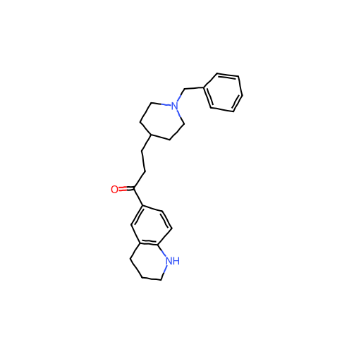 O=C(CCC1CCN(Cc2ccccc2)CC1)c1ccc2c(c1)CCCN2